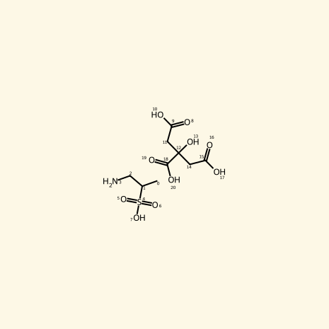 CC(CN)S(=O)(=O)O.O=C(O)CC(O)(CC(=O)O)C(=O)O